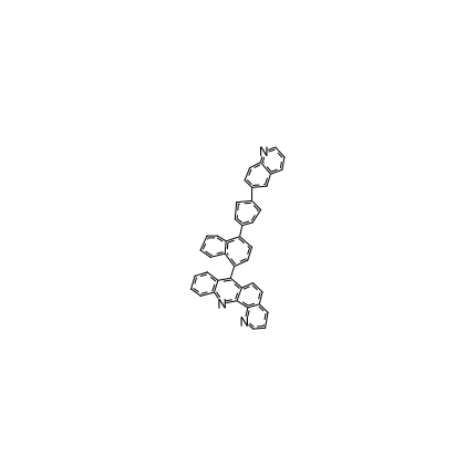 c1cnc2ccc(-c3ccc(-c4ccc(-c5c6ccccc6nc6c5ccc5cccnc56)c5ccccc45)cc3)cc2c1